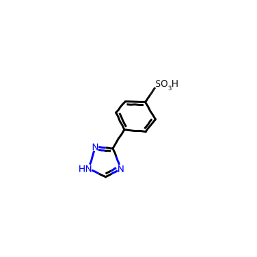 O=S(=O)(O)c1ccc(-c2nc[nH]n2)cc1